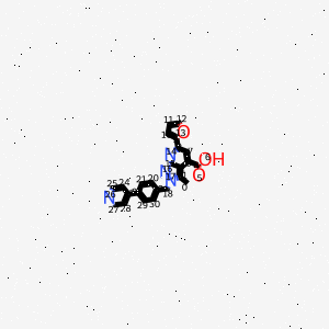 Cc1c2c(C(=O)O)cc(-c3ccco3)nc2nn1Cc1ccc(-c2ccncc2)cc1